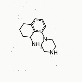 NC1CCCc2cccc(N3CCNCC3)c21